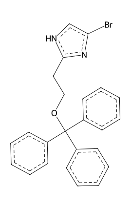 Brc1c[nH]c(CCOC(c2ccccc2)(c2ccccc2)c2ccccc2)n1